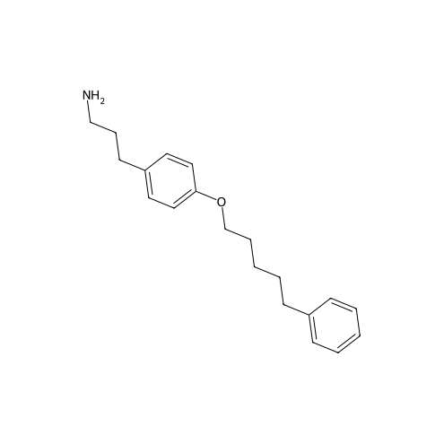 NCCCc1ccc(OCCCCCc2ccccc2)cc1